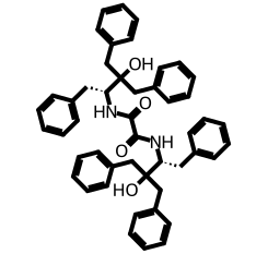 O=C(N[C@H](Cc1ccccc1)C(O)(Cc1ccccc1)Cc1ccccc1)C(=O)N[C@H](Cc1ccccc1)C(O)(Cc1ccccc1)Cc1ccccc1